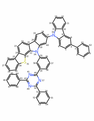 c1ccc(-c2ccc3c(c2)c2ccccc2n3-c2ccc3c4ccc5c6ccccc6sc5c4n(-c4cccc(-c5nc(-c6ccccc6)nc(-c6ccccc6)n5)c4)c3c2)cc1